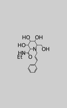 CCNC(=O)C1C(O)C(O)C(O)C(CO)N1C/C=C/c1ccccc1